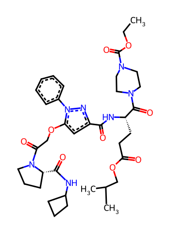 CCOC(=O)N1CCN(C(=O)[C@H](CCC(=O)OCC(C)C)NC(=O)c2cc(OCC(=O)N3CCC[C@H]3C(=O)NC3CCC3)n(-c3ccccc3)n2)CC1